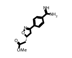 COC(=O)C[C@H]1CC(c2ccc(C(=N)N)cc2)=NO1